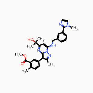 COC(=O)c1cc(-c2c(C)nn3c(NCc4cccc(-c5nccn5C)c4)cc(C(C)(C)O)nc23)ccc1C